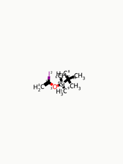 C=C(I)O[Si](C)(C)C(C)(C)C